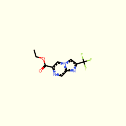 CCOC(=O)c1cn2cc(C(F)(F)F)nc2cn1